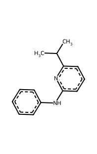 CC(C)c1cccc(Nc2ccccc2)n1